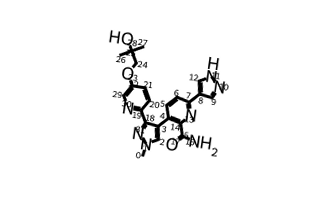 Cn1cc(-c2ccc(-c3cn[nH]c3)nc2C(N)=O)c(-c2ccc(OCC(C)(C)O)cn2)n1